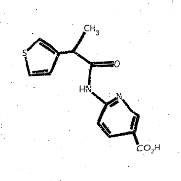 CC(C(=O)Nc1ccc(C(=O)O)cn1)c1ccsc1